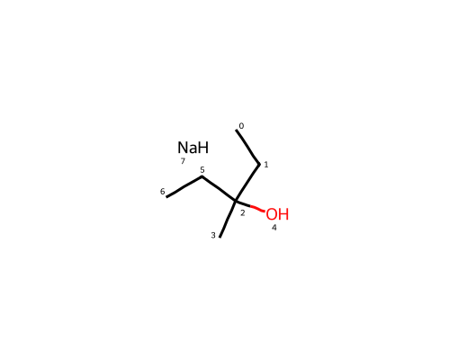 CCC(C)(O)CC.[NaH]